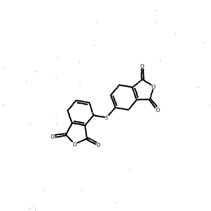 O=C1OC(=O)C2=C1CC=C(SC1C=CCC3=C1C(=O)OC3=O)C2